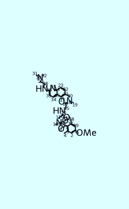 COc1cc(C)c(S(=O)(=O)N(C)CC(=O)NCC(=O)N(C)Cc2ccc3nc(NCCN(C)C)ccc3c2)c(C)c1